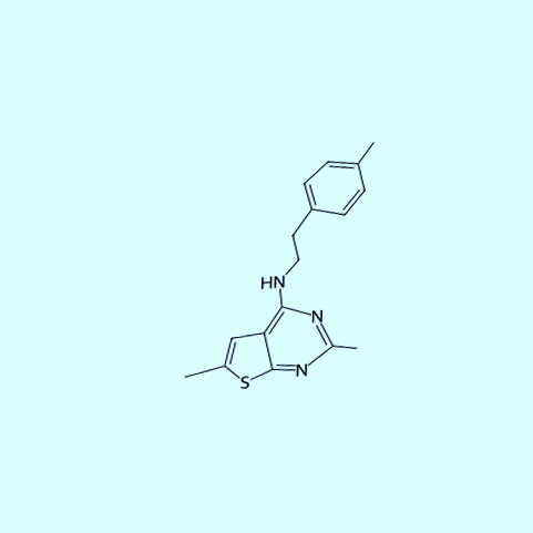 Cc1ccc(CCNc2nc(C)nc3sc(C)cc23)cc1